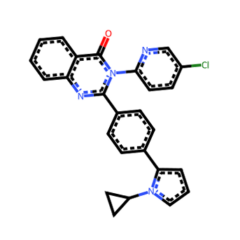 O=c1c2ccccc2nc(-c2ccc(-c3cccn3C3CC3)cc2)n1-c1ccc(Cl)cn1